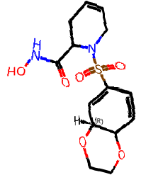 O=C(NO)C1CC=CCN1S(=O)(=O)C1=C[C@H]2OCCOC2C=C1